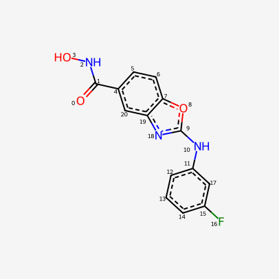 O=C(NO)c1ccc2oc(Nc3cccc(F)c3)nc2c1